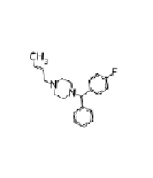 C/C=C/CN1CCN(C(c2ccccc2)c2ccc(F)cc2)CC1